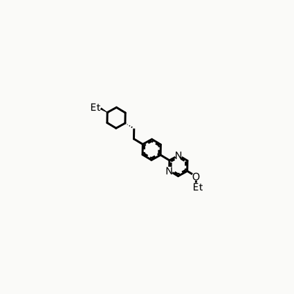 CCOc1cnc(-c2ccc(CC[C@H]3CC[C@H](CC)CC3)cc2)nc1